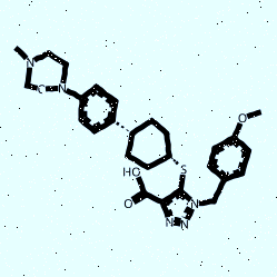 COc1ccc(Cn2nnc(C(=O)O)c2S[C@H]2CC[C@@H](c3ccc(N4CCN(C)CC4)cc3)CC2)cc1